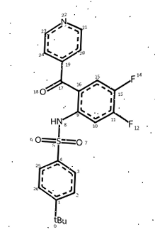 CC(C)(C)c1ccc(S(=O)(=O)Nc2cc(F)c(F)cc2C(=O)c2ccncc2)cc1